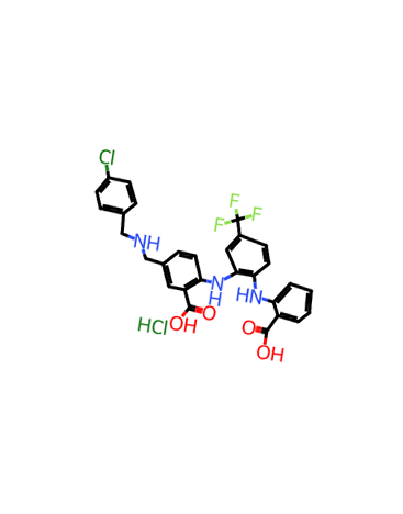 Cl.O=C(O)c1ccccc1Nc1ccc(C(F)(F)F)cc1Nc1ccc(CNCc2ccc(Cl)cc2)cc1C(=O)O